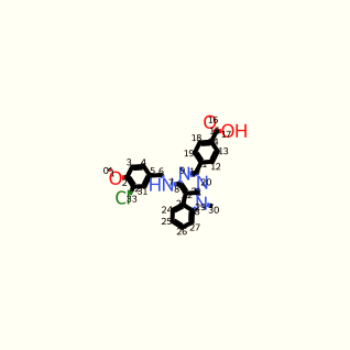 COc1ccc(CNc2nc(-c3ccc(C(=O)O)cc3)nc3c2c2ccccc2n3C)cc1Cl